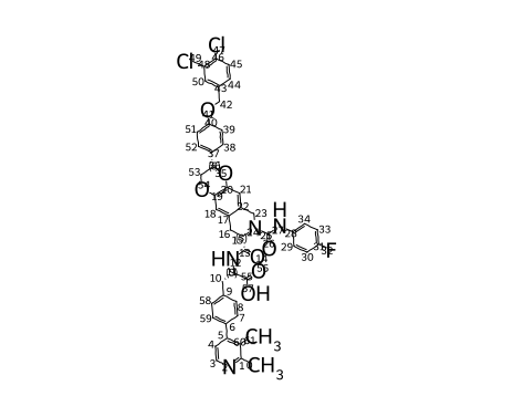 Cc1nccc(-c2ccc(C[C@H](NC(=O)[C@@H]3Cc4cc5c(cc4CN3C(=O)Nc3ccc(F)cc3)O[C@@H](c3ccc(OCc4ccc(Cl)c(Cl)c4)cc3)CO5)C(=O)O)cc2)c1C